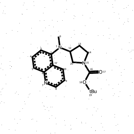 CN(c1cccc2ncccc12)C1CCN(C(=O)OC(C)(C)C)C1